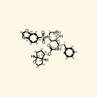 CC[C@H](C)CN(C[C@@H](O)[C@H](Cc1ccccc1)NC(=O)O[C@H]1CC[C@H]2OCC[C@@H]12)S(=O)(=O)c1ccc2ncoc2c1